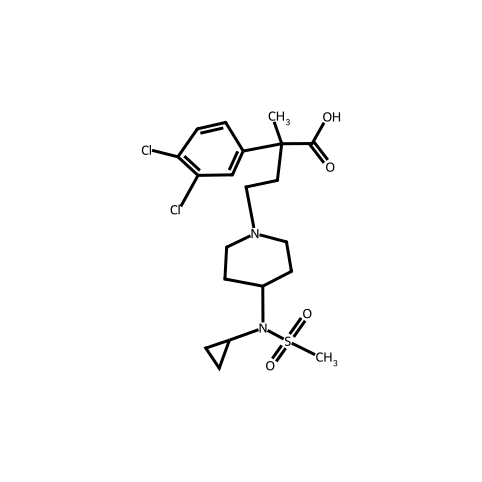 CC(CCN1CCC(N(C2CC2)S(C)(=O)=O)CC1)(C(=O)O)c1ccc(Cl)c(Cl)c1